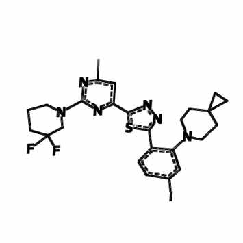 Cc1cc(-c2nnc(-c3ccc(I)cc3N3CCC4(CC3)CC4)s2)nc(N2CCCC(F)(F)C2)n1